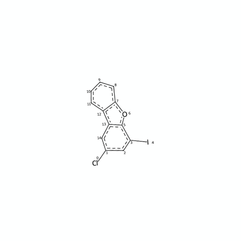 Clc1cc(I)c2oc3ccccc3c2c1